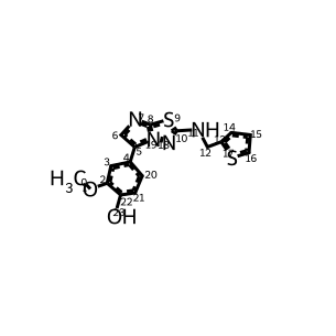 COc1cc(-c2cnc3sc(NCc4cccs4)nn23)ccc1O